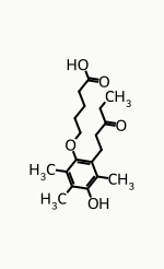 CCC(=O)CCc1c(C)c(O)c(C)c(C)c1OCCCCC(=O)O